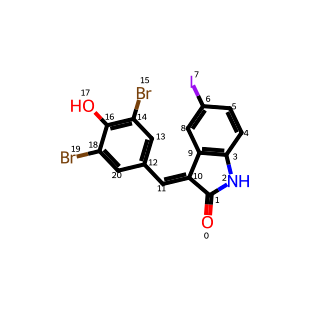 O=C1Nc2ccc(I)cc2/C1=C\c1cc(Br)c(O)c(Br)c1